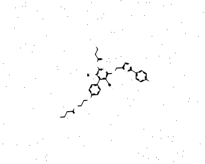 [C-]#[N+]c1c(NC(=O)CCN)nc(SCc2csc(-c3ccc(Cl)cc3)n2)c(C#N)c1-c1ccc(OCCOC(=O)CCN)cc1